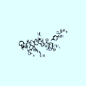 C#CCCCON(C(=O)[C@@H](NC(=O)[C@H]1CCCCN1C)[C@@H](C)CC)[C@H](C[C@@H](OC(C)=O)c1nc(C(=O)N[C@@H](Cc2ccc(NC(=O)CN)cc2)CC(C)(C)C(=O)O)cs1)C(C)C